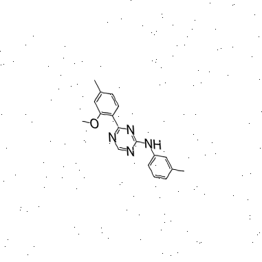 COc1cc(C)ccc1-c1ncnc(Nc2cccc(C)c2)n1